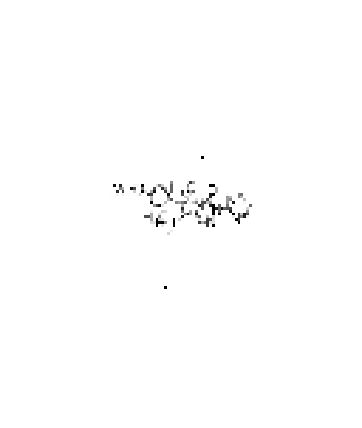 COc1ccc(-c2c(C)c3cnn(-c4ncccn4)c(=O)n3c2C)c(C)c1